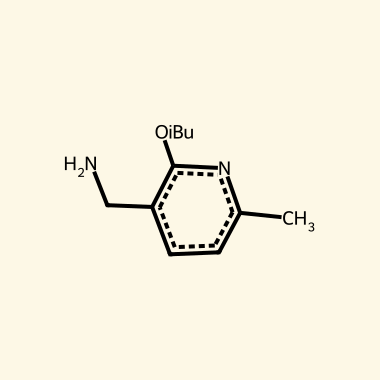 Cc1ccc(CN)c(OCC(C)C)n1